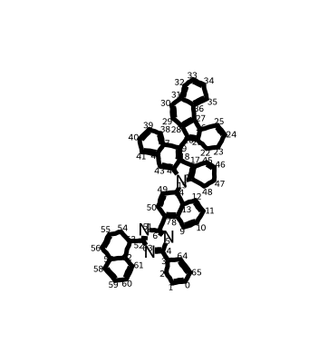 C1=CCC(c2nc(C3=C4C=CC=CC4C(n4c5c(c6c(C7=C8CCC=CC8c8c7ccc7ccccc87)c7ccccc7cc64)C=CCC5)C=C3)nc(C3CC=CC4C=CC=CC43)n2)C=C1